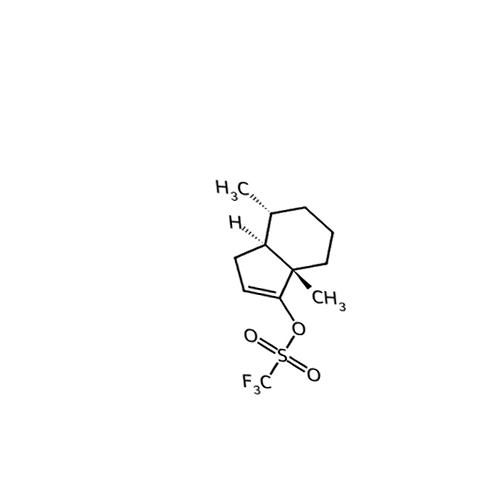 C[C@@H]1CCC[C@]2(C)C(OS(=O)(=O)C(F)(F)F)=CC[C@@H]12